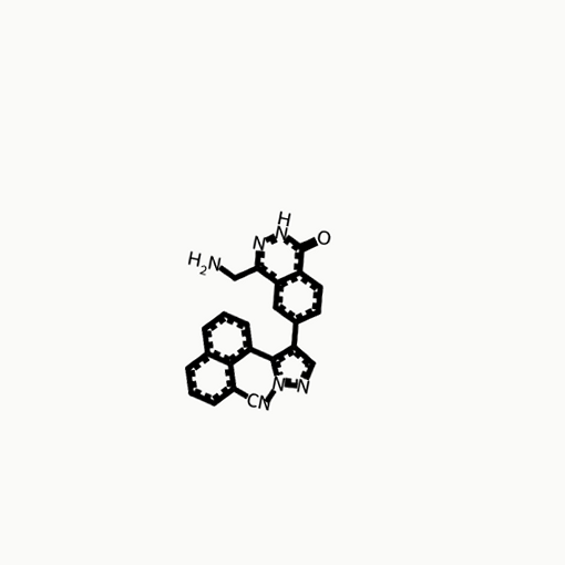 Cn1ncc(-c2ccc3c(=O)[nH]nc(CN)c3c2)c1-c1cccc2cccc(C#N)c12